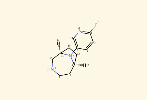 Fc1ccc(N2[C@@H]3CCNC[C@H]2CC3)cn1